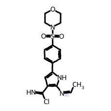 C/C=N\c1[nH]c(-c2ccc(S(=O)(=O)N3CCOCC3)cc2)cc1C(=N)Cl